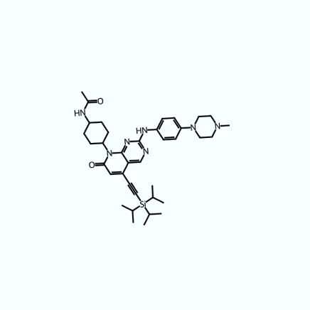 CC(=O)NC1CCC(n2c(=O)cc(C#C[Si](C(C)C)(C(C)C)C(C)C)c3cnc(Nc4ccc(N5CCN(C)CC5)cc4)nc32)CC1